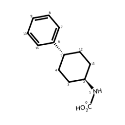 O=C(O)N[C@H]1CC[C@H](c2ccccc2)CC1